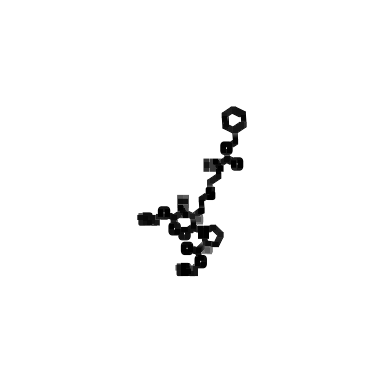 CC(C)(C)OC(=O)N[C@@H](CCSCCNC(=O)OCc1ccccc1)C(=O)N1CCC[C@H]1C(=O)OC(C)(C)C